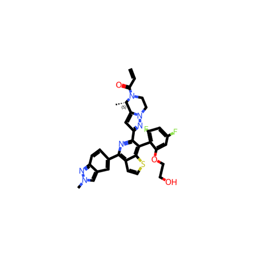 C=CC(=O)N1CCn2nc(-c3nc(-c4ccc5nn(C)cc5c4)c4ccsc4c3-c3c(F)cc(F)cc3OCCO)cc2[C@@H]1C